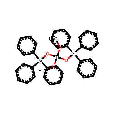 C[O][Ti]([O]C)([O][Si](c1ccccc1)(c1ccccc1)c1ccccc1)[O][Si](c1ccccc1)(c1ccccc1)c1ccccc1